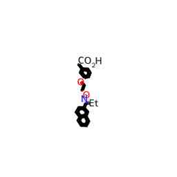 CC/C(=N\OCCOc1cccc(CC(=O)O)c1)c1ccc2ccccc2c1